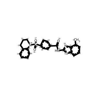 Cc1cccc2sc(NC(=O)c3ccc(S(=O)(=O)N4CCCc5ccccc54)cc3)nc12